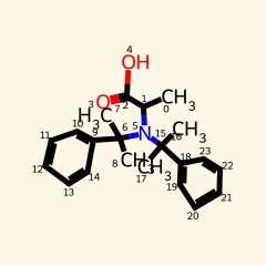 CC(C(=O)O)N(C(C)(C)c1ccccc1)C(C)(C)c1ccccc1